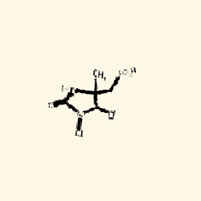 CC1(CS(=O)(=O)O)NC(=O)N(Cl)C1Cl